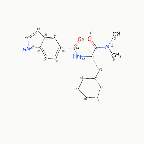 CN(C#N)C(=O)[C@H](CC1CCCCC1)NC(=O)c1ccc2[nH]ccc2c1